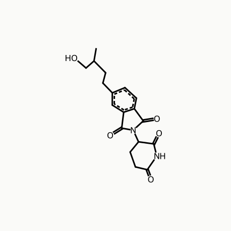 CC(CO)CCc1ccc2c(c1)C(=O)N(C1CCC(=O)NC1=O)C2=O